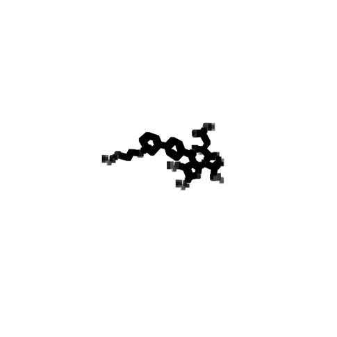 COCCOc1cccc(-c2ccc(C3=N[C@@H](CC(=O)O)c4nnc(C)n4-c4sc(C)c(C)c43)cc2)c1